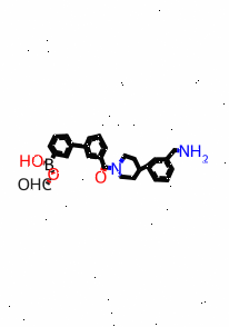 NCc1cccc(C2CCN(C(=O)c3cccc(-c4cccc(B(O)OC=O)c4)c3)CC2)c1